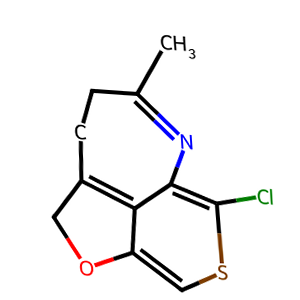 CC1=NC2=C(Cl)SC=C3OCC(=C32)CC1